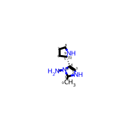 CC1NC=C([C@@H]2CCCN2)N1N